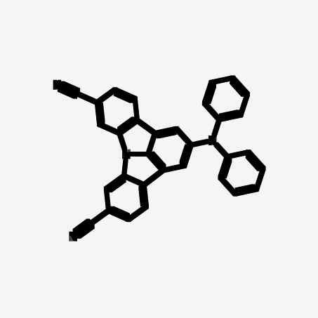 N#Cc1ccc2c3cc(N(c4ccccc4)c4ccccc4)cc4c5ccc(C#N)cc5n(c2c1)c34